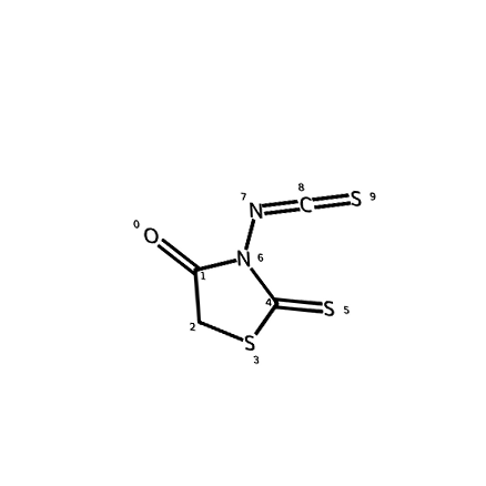 O=C1CSC(=S)N1N=C=S